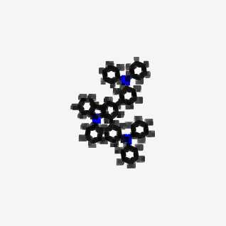 c1ccc(N(c2ccccc2)c2cccc(-c3cc(-c4cccc(N(c5ccccc5)c5ccccc5)c4)c4c(c3)c3ccccc3n4-c3ccccc3)c2)cc1